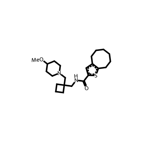 COC1CCN(CC2(CNC(=O)c3cc4c(s3)CCCCCC4)CCC2)CC1